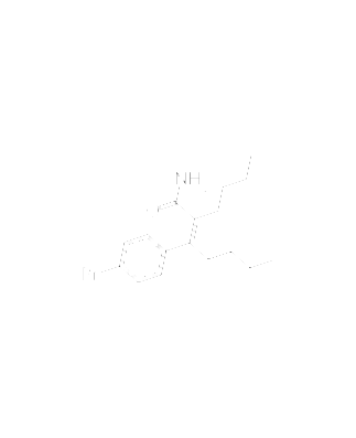 CCCCC(C(N)=O)=C(CCCC)c1ccc(Br)cc1